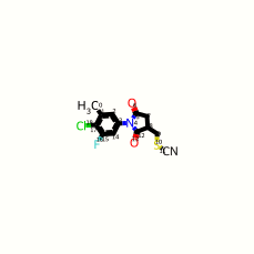 Cc1cc(N2C(=O)CC(CSC#N)C2=O)cc(F)c1Cl